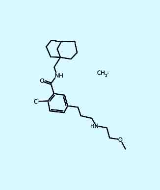 COCCNCCCc1ccc(Cl)c(C(=O)NCC23CCCC(CCC2)C3)c1.[CH2]